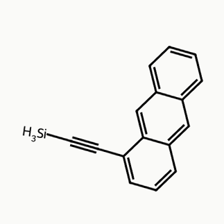 [SiH3]C#Cc1cccc2cc3ccccc3cc12